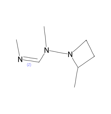 C/N=C\N(C)N1CCC1C